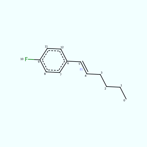 CCCC/C=C/c1ccc(F)cc1